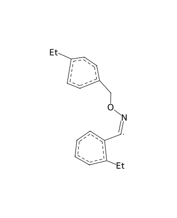 CCc1ccc(CO/N=[C]\c2ccccc2CC)cc1